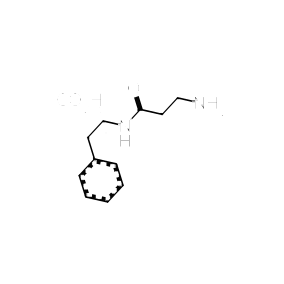 NCCC(=O)N[C@H](Cc1ccccc1)C(=O)O